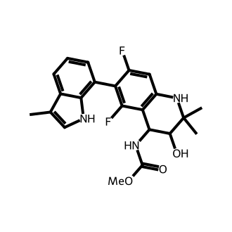 COC(=O)NC1c2c(cc(F)c(-c3cccc4c(C)c[nH]c34)c2F)NC(C)(C)C1O